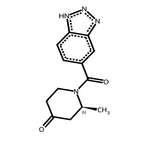 C[C@H]1CC(=O)CCN1C(=O)c1ccc2[nH]nnc2c1